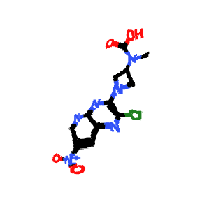 CN(C(=O)O)C1CN(c2nc3ncc([N+](=O)[O-])cc3nc2Cl)C1